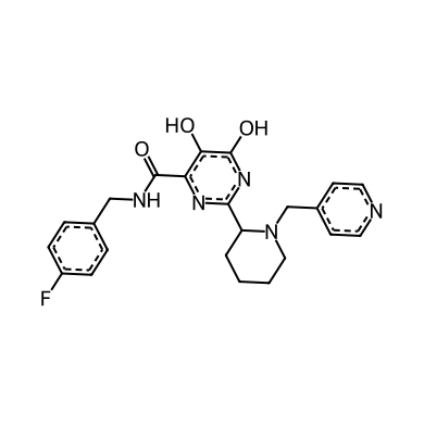 O=C(NCc1ccc(F)cc1)c1nc(C2CCCCN2Cc2ccncc2)nc(O)c1O